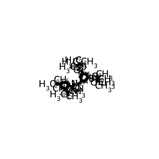 CC(C)(C)c1ccc(-c2ncnc(-c3cc(B4OC(C)(C)C(C)(C)O4)cc(B4OC(C)(C)C(C)(C)O4)c3)n2)c(C(C)(C)C)c1